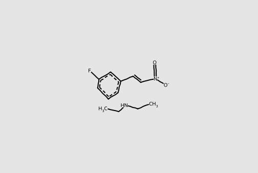 CCNCC.O=[N+]([O-])C=Cc1cccc(F)c1